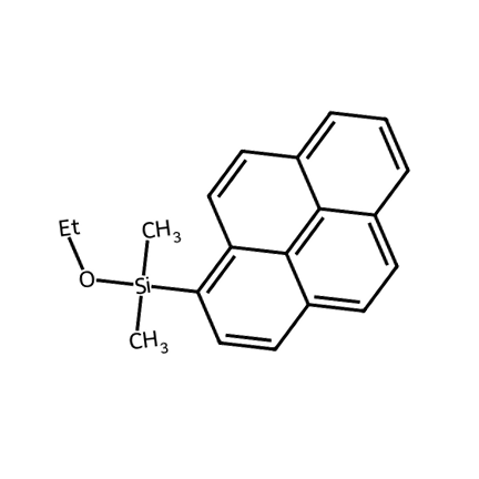 CCO[Si](C)(C)c1ccc2ccc3cccc4ccc1c2c34